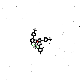 CC1=Cc2c(-c3ccc(C(C)(C)C)cc3)ccc(C)c2[CH]1[Zr]([Cl])([Cl])([CH]1C(c2c(C)cc(C)cc2C)=Cc2c(-c3ccc(C(C)(C)C)cc3)cccc21)[SiH](C)C